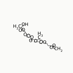 C=CC(=O)OCCCCOc1ccc2c(c1)C(C)c1cc(C(=O)Oc3ccc(OCCOC(=O)C(=C)CO)cc3)ccc1-2